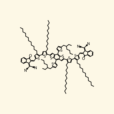 CCCCCCCCCCCCc1cc(/C=C2\C(=O)c3ccccc3C2=C(C#N)C#N)sc1-c1cc(CCCCCCCCCCCC)c(-c2cc3c(-c4ccc(CC(CC)CCCC)s4)c4sc(-c5sc(-c6sc(/C=C7\C(=O)c8ccccc8C7=C(C#N)C#N)cc6CCCCCCCCCCCC)cc5CCCCCCCCCCCC)cc4c(-c4ccc(CC(CC)CCCC)s4)c3s2)s1